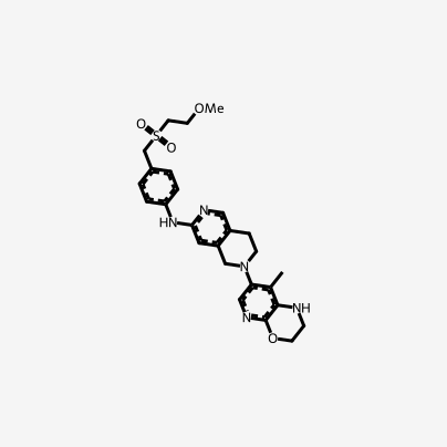 COCCS(=O)(=O)Cc1ccc(Nc2cc3c(cn2)CCN(c2cnc4c(c2C)NCCO4)C3)cc1